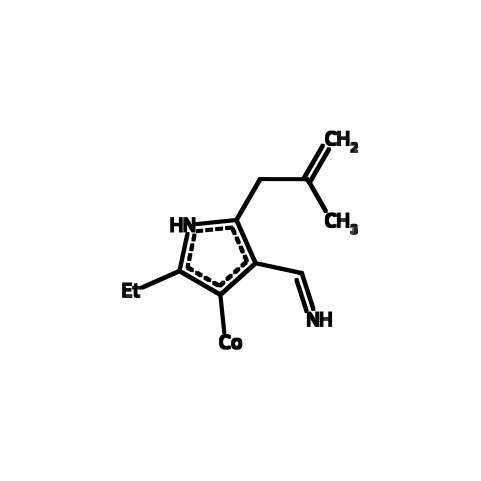 C=C(C)Cc1[nH]c(CC)[c]([Co])c1C=N